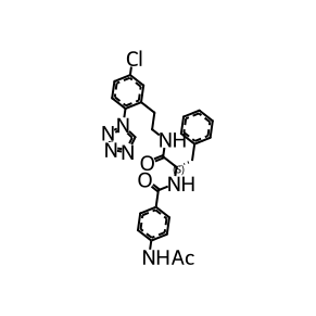 CC(=O)Nc1ccc(C(=O)N[C@@H](Cc2ccccc2)C(=O)NCCc2cc(Cl)ccc2-n2cnnn2)cc1